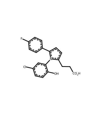 O=C(O)CCc1ccc(-c2ccc(F)cc2)n1-c1cc(Cl)ccc1O